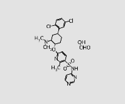 Cc1nc(O[C@H]2CC[C@H](c3cc(Cl)ccc3Cl)C[C@@H]2N(C)C)ccc1S(=O)(=O)Nc1ccncn1.O=CO